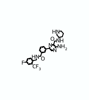 Nc1ncc(-c2cccc(C(=O)NCc3ccc(F)cc3C(F)(F)F)c2)nc1C(=O)N[C@H]1CCCNC1